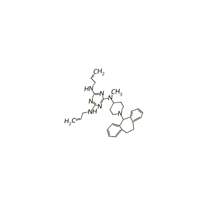 C=CCNc1nc(NCC=C)nc(N(C)C2CCN(C3c4ccccc4CCc4ccccc43)CC2)n1